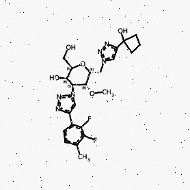 CO[C@@H]1[C@@H](n2cc(-c3ccc(C)c(F)c3F)nn2)[C@@H](O)[C@@H](CO)O[C@@H]1Cn1cc(C2(O)CCC2)nn1